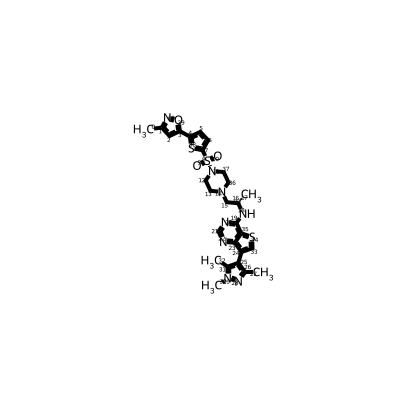 Cc1cc(-c2ccc(S(=O)(=O)N3CCN(C[C@H](C)Nc4ncnc5c(-c6c(C)nn(C)c6C)csc45)CC3)s2)on1